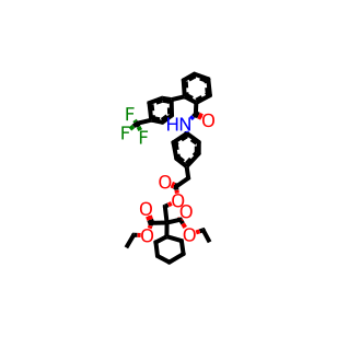 CCOC(=O)C(COC(=O)Cc1ccc(NC(=O)c2ccccc2-c2ccc(C(F)(F)F)cc2)cc1)(C(=O)OCC)C1CCCCC1